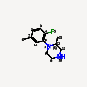 Cc1ccc(F)c(N2CCNC[C@@H]2C)c1